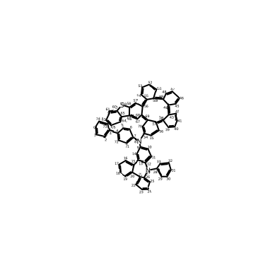 c1ccc(-c2ccc(N(c3ccc4c(c3)-c3ccccc3-c3ccccc3N4c3ccccc3)c3ccc4c5ccccc5c5ccccc5c5ccccc5c5cc6sc7ccccc7c6cc5c4c3)cc2)cc1